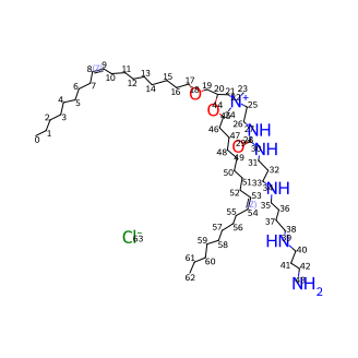 CCCCCCCC/C=C\CCCCCCCCOCC(C[N+](C)(C)CCNC(=O)NCCCNCCCCNCCCN)OCCCCCCCC/C=C\CCCCCCCC.[Cl-]